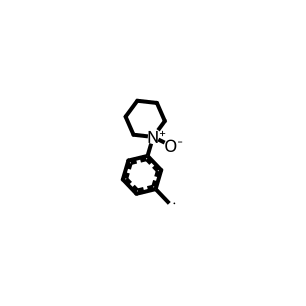 [CH2]c1cccc([N+]2([O-])CCCCC2)c1